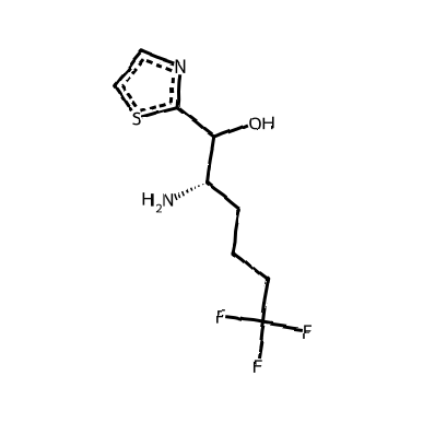 N[C@@H](CCCC(F)(F)F)C(O)c1nccs1